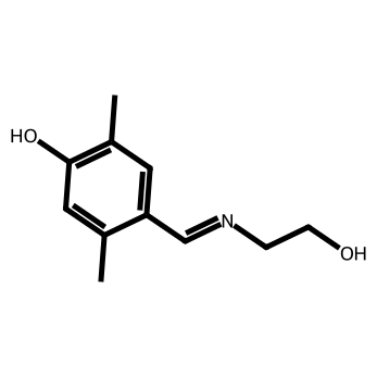 Cc1cc(C=NCCO)c(C)cc1O